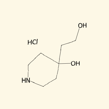 Cl.OCCC1(O)CCNCC1